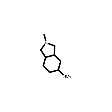 CNC1CCC2CN(C)CC2C1